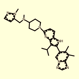 Cc1c(-c2[nH]c3ccc(N4CCC(N(C)Cc5ccnn5C)CC4)nc3c2C(C)C)cn2ncnc2c1C